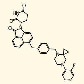 O=C1CCC(N2C(=O)c3cccc4c(Cc5ccc(CN6CCN(c7ccccc7F)CC67CC7)cc5)ccc2c34)C(=O)N1